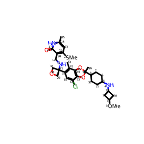 COC1CC(NC2CCC(C3(C)Oc4c(Cl)cc(C5(NCc6c(SC)cc(C)[nH]c6=O)COC5)c(C)c4O3)CC2)C1